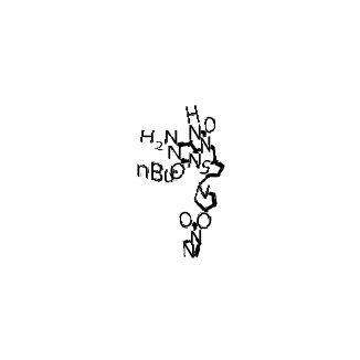 CCCCOc1nc(N)c2[nH]c(=O)n(Cc3ccc(CN4CCC(OC(=O)n5ccnc5)C4)s3)c2n1